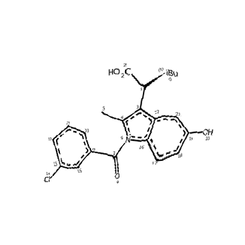 CC[C@H](C)C(C(=O)O)c1c(C)n(C(=O)c2cccc(Cl)c2)c2ccc(O)cc12